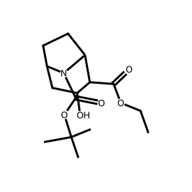 CCOC(=O)C1C(O)CC2CCC1N2C(=O)OC(C)(C)C